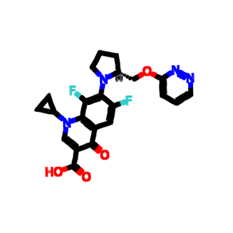 O=C(O)c1cn(C2CC2)c2c(F)c(N3CCC[C@@H]3COc3cccnn3)c(F)cc2c1=O